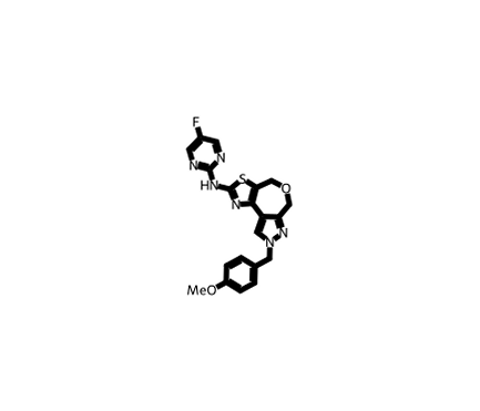 COc1ccc(Cn2cc3c(n2)COCc2sc(Nc4ncc(F)cn4)nc2-3)cc1